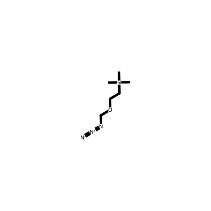 C[Si](C)(C)CCOCN=[N+]=[N-]